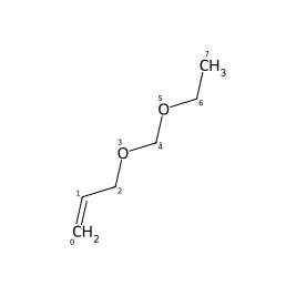 C=CCO[CH]OCC